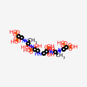 Cc1cc(N=Nc2c(S(=O)(=O)O)cc3cc(Nc4ccc5c(O)c(N=Nc6cc(C)c(N=Nc7ccc8cc(S(=O)(=O)O)cc(S(=O)(=O)O)c8c7)cc6O)c(S(=O)(=O)O)cc5c4)ccc3c2O)c(O)cc1N=Nc1ccc2cc(S(=O)(=O)O)cc(S(=O)(=O)O)c2c1